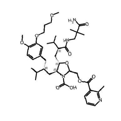 COCCCOc1cc(C[C@H](C[C@H]2[C@H](C[C@H](C(=O)NCC(C)(C)C(N)=O)C(C)C)OC(COC(=O)c3cccnc3C)N2C(=O)O)C(C)C)ccc1OC